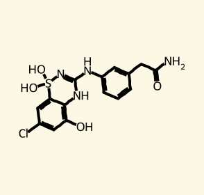 NC(=O)Cc1cccc(NC2=NS(O)(O)c3cc(Cl)cc(O)c3N2)c1